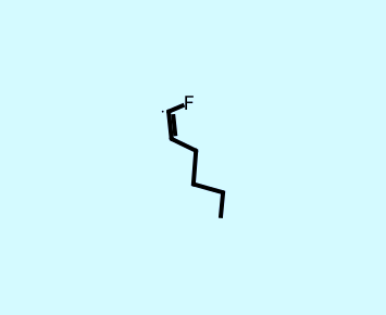 CCCC/C=[C]\F